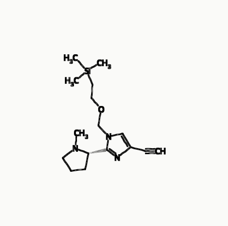 C#Cc1cn(COCC[Si](C)(C)C)c([C@@H]2CCCN2C)n1